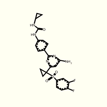 Nc1cc(C2(S(=O)(=O)c3ccc(F)c(F)c3)CC2)nc(-c2ccc(NC(=O)NC3CC3)cc2)n1